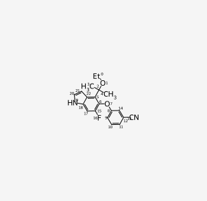 CCOC(C)(C)c1c(Oc2cccc(C#N)c2)c(F)cc2[nH]ccc12